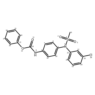 CS(=O)(=O)N(c1ccc(NC(=O)Oc2ccccc2)cc1)c1cccc(Cl)c1